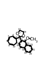 COc1c(C2(C3=CC=CC=CC3)OCCO2)ccc2ccccc12